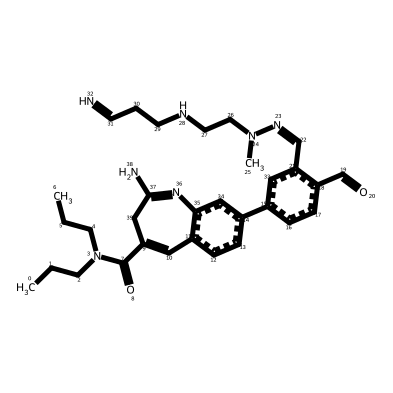 CCCN(CCC)C(=O)C1=Cc2ccc(-c3ccc(C=O)c(/C=N\N(C)CCNCCC=N)c3)cc2N=C(N)C1